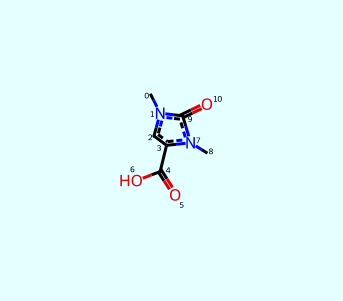 Cn1cc(C(=O)O)n(C)c1=O